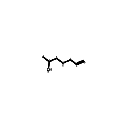 C=CCO[CH]C(C)O